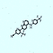 N#Cc1cnc(-c2ccc3c(Nc4ccc(C(F)(F)F)cn4)ccnc3n2)c(C(F)(F)F)c1